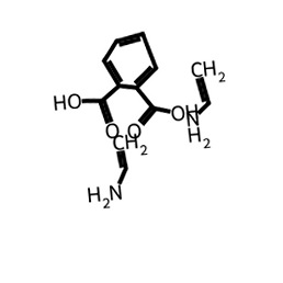 C=CN.C=CN.O=C(O)c1ccccc1C(=O)O